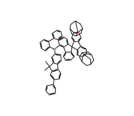 CC1(C)c2cc(-c3ccccc3)ccc2-c2ccc(N(c3ccccc3-c3ccccc3)c3cccc4c3-c3ccccc3C43c4cc5c(cc4-c4cc6c(cc43)C3CC4CC(CC6C4)C3)C3CC4CC(C3)CC5C4)cc21